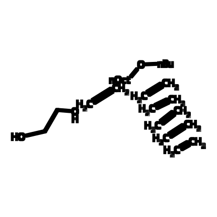 C=C.C=C.C=C.C=C.C=C.C=C.CCCCCCCCOCCCC.OCCO